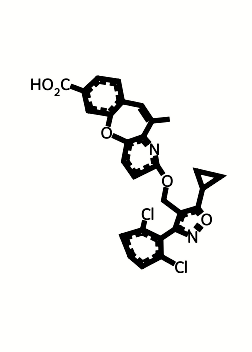 CC1=Cc2ccc(C(=O)O)cc2Oc2ccc(OCc3c(-c4c(Cl)cccc4Cl)noc3C3CC3)nc21